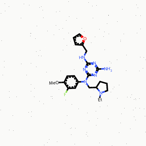 CCN1CCCC1CN(c1ccc(OC)c(F)c1)c1nc(N)nc(NCc2ccco2)n1